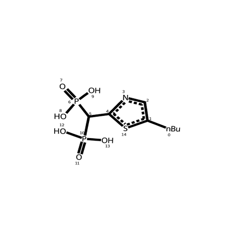 CCCCc1cnc(C(P(=O)(O)O)P(=O)(O)O)s1